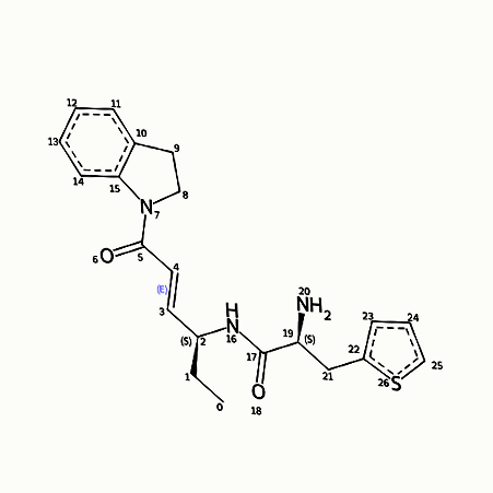 CC[C@@H](/C=C/C(=O)N1CCc2ccccc21)NC(=O)[C@@H](N)Cc1cccs1